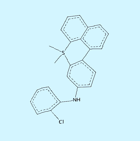 CS1(C)c2cc(Nc3ccccc3Cl)ccc2-c2cccc3cccc1c23